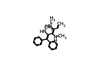 C=CC(NC)=C(NC)C(NC)=C(c1ccccc1)c1ccccc1